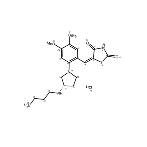 COc1cc(C=C2SC(=O)NC2=O)c(N2CC[C@H](NCCCN)C2)cc1OC.Cl